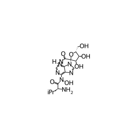 CC(C)[C@H](N)C(=O)N(O)c1ncnc2c1ncn2[C@]1(C(N)=O)O[C@H](CO)[C@@H](O)[C@H]1O